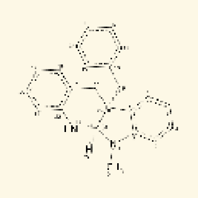 CN1c2ccccc2[C@]2(Cc3ccccc3)Cc3ccccc3N[C@H]12